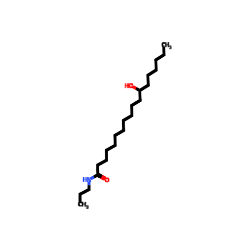 CCCCCCC(O)CCCCCCCCCCC(=O)NCCC